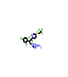 N/N=C\NCC(c1ccc(F)cc1F)C(F)(F)c1ccc(SCC(F)(F)F)cn1